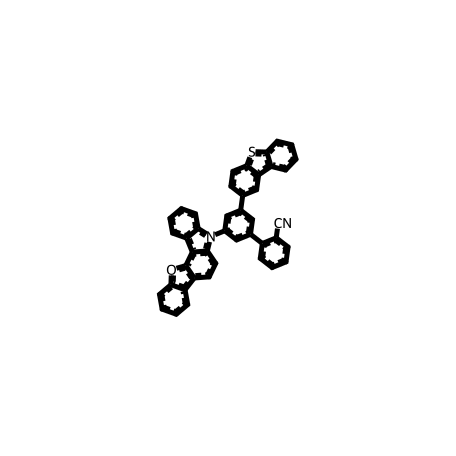 N#Cc1ccccc1-c1cc(-c2ccc3sc4ccccc4c3c2)cc(-n2c3ccccc3c3c4oc5ccccc5c4ccc32)c1